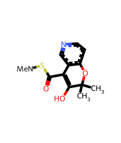 CNSC(=O)C1=C(O)C(C)(C)Oc2ccncc21